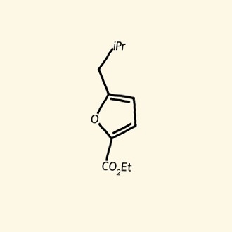 CCOC(=O)c1ccc(CC(C)C)o1